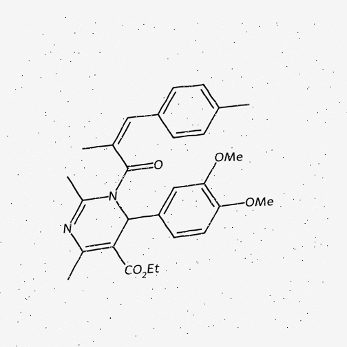 CCOC(=O)C1=C(C)N=C(C)N(C(=O)/C(C)=C\c2ccc(C)cc2)C1c1ccc(OC)c(OC)c1